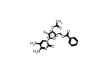 CC(=O)O[C@H]1[C@H](F)[C@H](n2cc(N)c(N)nc2=O)O[C@@H]1COC(=O)c1ccccc1